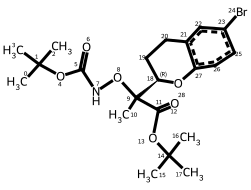 CC(C)(C)OC(=O)NOC(C)(C(=O)OC(C)(C)C)[C@H]1CCc2cc(Br)ccc2O1